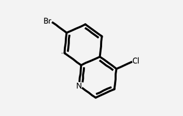 Clc1ccnc2[c]c(Br)ccc12